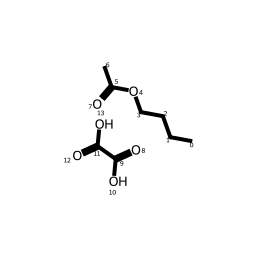 CCCCOC(C)=O.O=C(O)C(=O)O